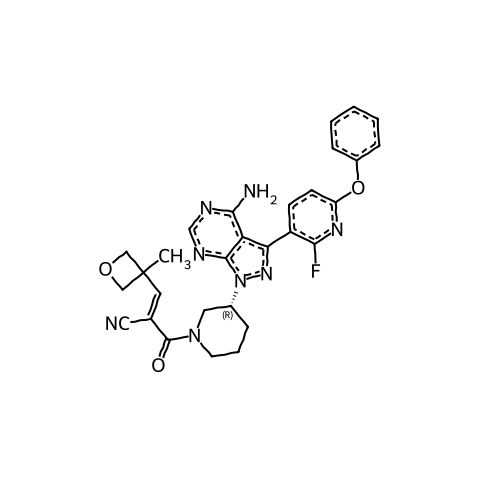 CC1(C=C(C#N)C(=O)N2CCC[C@@H](n3nc(-c4ccc(Oc5ccccc5)nc4F)c4c(N)ncnc43)C2)COC1